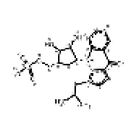 CC(C)Cn1ccc(C(=O)c2cncnc2N[C@@H]2C[C@H](COS(N)(=O)=O)[C@@H](O)[C@H]2O)n1